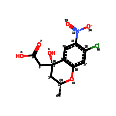 C[C@@H]1C[C@@](O)(CC(=O)O)c2cc([N+](=O)[O-])c(Cl)cc2O1